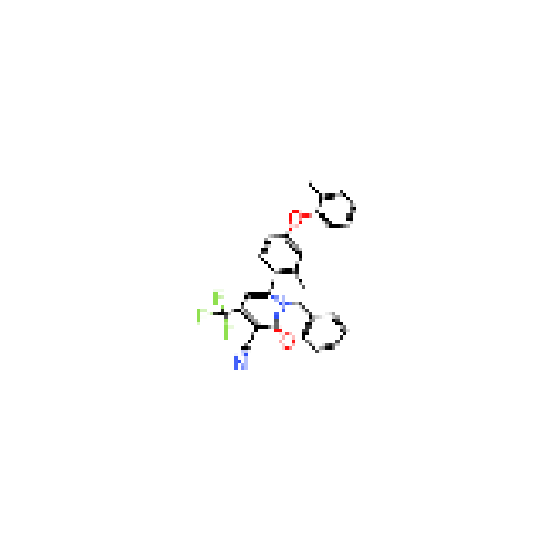 Cc1ccccc1Oc1ccc(-c2cc(C(F)(F)F)c(C#N)c(=O)n2Cc2ccccc2)c(C)c1